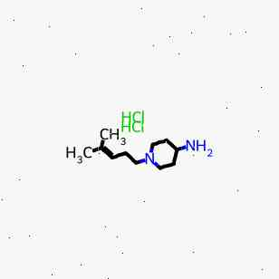 CC(C)=CCCN1CCC(N)CC1.Cl.Cl